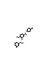 Cc1cc(C)cc(C(CC(C)C)NC(=O)c2cc(C(C)Oc3ccc(C(N)=O)cc3)ccc2CCC(=O)O)c1